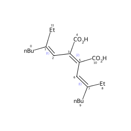 CCCC/C(=C/C(C(=O)O)=C(\C=C(/CC)CCCC)C(=O)O)CC